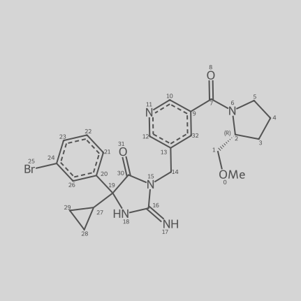 COC[C@H]1CCCN1C(=O)c1cncc(CN2C(=N)NC(c3cccc(Br)c3)(C3CC3)C2=O)c1